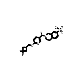 C[C@H](c1ccc(OCC2CC(F)(F)C2)nc1)N1CCc2ccc(S(=O)(=O)Cl)cc2C1